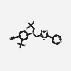 N#Cc1ccc(N(Cc2nnc(-c3ccncc3)o2)CC(F)(F)F)cc1C(F)(F)F